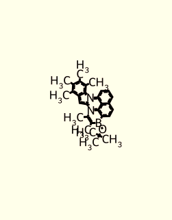 CC1=C(C)n2c3c(ccc4cccc(c43)n3c4c(C)c(C)c(C)c(C)c4cc23)B1OC(C)(C)C